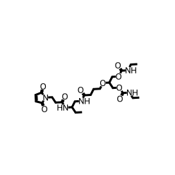 CCNC(=O)OCC(COC(=O)NCC)OCCCC(=O)NCC(CC)NC(=O)CCN1C(=O)C=CC1=O